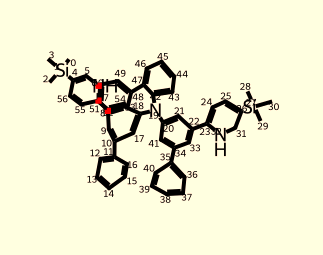 C[Si](C)(C)C1=CNC(c2cc(-c3ccccc3)cc(N(c3cc(C4=CC=C([Si](C)(C)C)CN4)cc(-c4ccccc4)c3)c3ccccc3-c3ccccc3)c2)C=C1